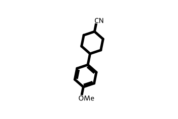 COc1ccc(C2CCC(C#N)CC2)cc1